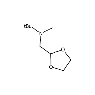 CN(CC1OCCO1)C(C)(C)C